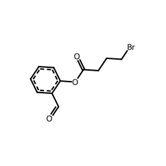 O=Cc1ccccc1OC(=O)CCCBr